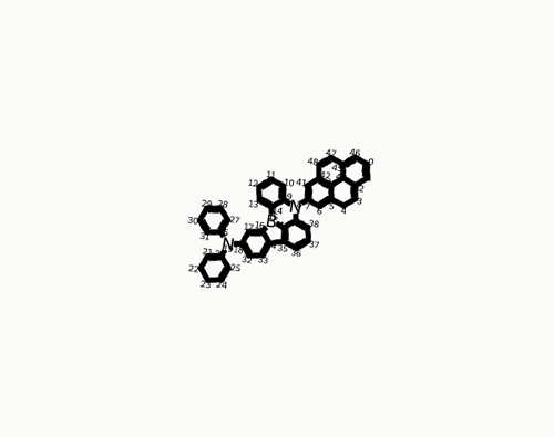 C1=CC2=CCc3cc(N4c5ccccc5B5c6cc(N(C7=CCCC=C7)c7ccccc7)ccc6-c6cccc4c65)cc4c3C2C(=C1)C=C4